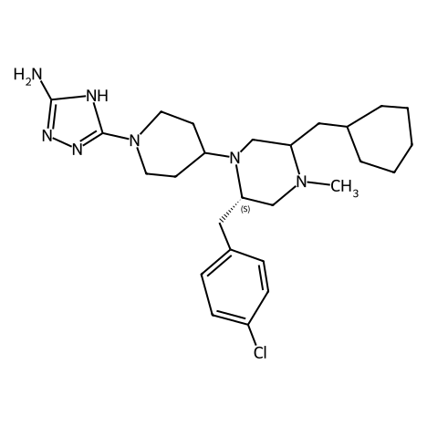 CN1C[C@H](Cc2ccc(Cl)cc2)N(C2CCN(c3nnc(N)[nH]3)CC2)CC1CC1CCCCC1